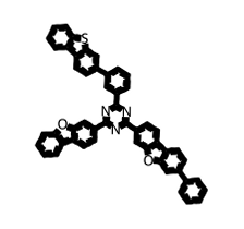 c1ccc(-c2ccc3c(c2)oc2cc(-c4nc(-c5cccc(-c6ccc7c(c6)sc6ccccc67)c5)nc(-c5ccc6c(c5)oc5ccccc56)n4)ccc23)cc1